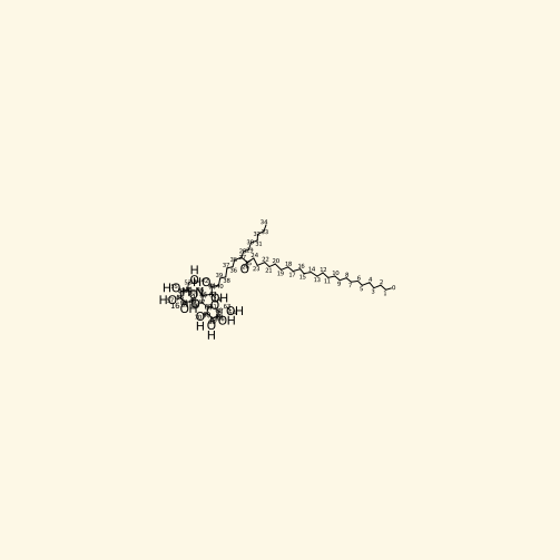 CCCCCCCCCCCCCCCCCCCCCCCCCC(=O)C(CCCCCCC)CCCCCC[C@@H](O)[C@@H](O)[C@H](N)C(O[C@H]1O[C@H](CO)[C@H](O)[C@H](O)[C@H]1[16OH])[C@H]1O[C@H](CO)[C@H](O)[C@H](O)[C@H]1O